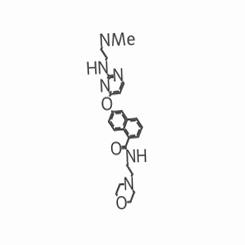 CNCCNc1nccc(Oc2ccc3c(C(=O)NCCN4CCOCC4)cccc3c2)n1